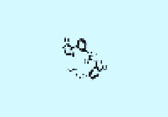 Cl.O=C(Nc1cccc(C2=NCCN2)c1)Nc1cc(C(F)(F)F)ccc1Cl